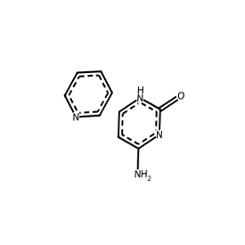 Nc1cc[nH]c(=O)n1.c1ccncc1